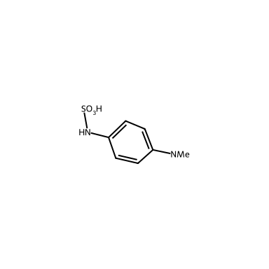 CNc1ccc(NS(=O)(=O)O)cc1